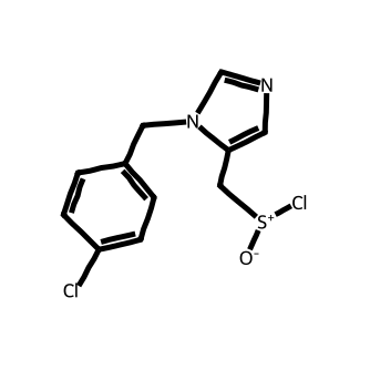 [O-][S+](Cl)Cc1cncn1Cc1ccc(Cl)cc1